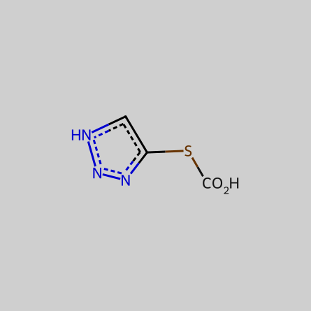 O=C(O)Sc1c[nH]nn1